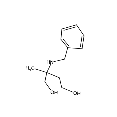 CC(CO)(CCO)NCc1ccccc1